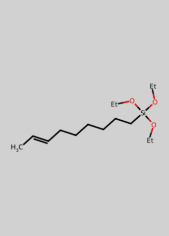 CC=CCCCCCC[Si](OCC)(OCC)OCC